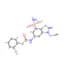 CC(C)CN1NCc2c1cc(NC(=O)Cc1ccccc1Cl)cc2S(N)(=O)=O